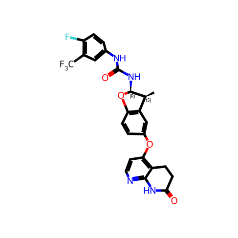 C[C@H]1c2cc(Oc3ccnc4c3CCC(=O)N4)ccc2O[C@H]1NC(=O)Nc1ccc(F)c(C(F)(F)F)c1